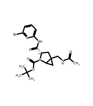 CC(=O)NCC12CC1N(C(=O)OC(C)(C)C)[C@H](C(=O)Nc1cccc(Br)n1)C2